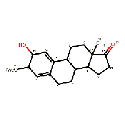 COC1C=C2CCC3C(CCC4(C)C(=O)CCC34)C2=CC1O